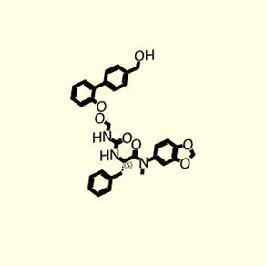 CN(C(=O)[C@H](Cc1ccccc1)NC(=O)NCOOc1ccccc1-c1ccc(CO)cc1)c1ccc2c(c1)OCO2